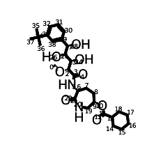 CO[C@@H](C(=O)N[C@H]1CC[C@@H](OC(=O)C2CCCCC2)CNC1=O)[C@H](O)[C@@H](O)[C@H](O)c1cccc(C(C)(C)C)c1